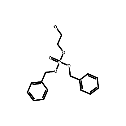 [O]CCOP(=O)(OCc1ccccc1)OCc1ccccc1